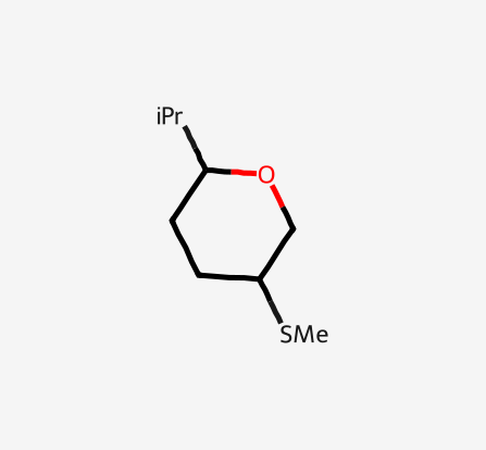 CSC1CCC(C(C)C)OC1